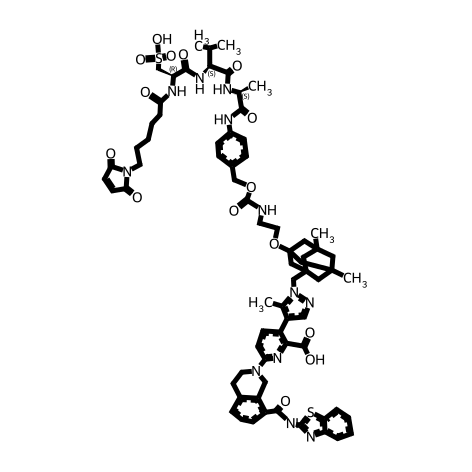 Cc1c(-c2ccc(N3CCc4cccc(C(=O)Nc5nc6ccccc6s5)c4C3)nc2C(=O)O)cnn1CC12CC3(C)CC(C)(C1)CC(OCCNC(=O)OCc1ccc(NC(=O)[C@H](C)NC(=O)[C@@H](NC(=O)[C@H](CS(=O)(=O)O)NC(=O)CCCCCN4C(=O)C=CC4=O)C(C)C)cc1)(C3)C2